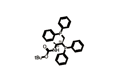 C[C@H](NC(=O)OC(C)(C)C)[C@@H](CP(c1ccccc1)c1ccccc1)P(c1ccccc1)c1ccccc1